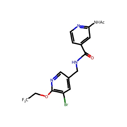 CC(=O)Nc1cc(C(=O)NCc2cnc(OCC(F)(F)F)c(Br)c2)ccn1